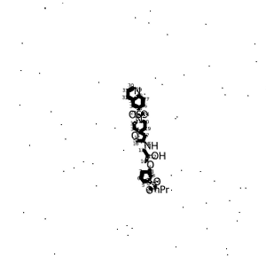 CCCS(=O)(=O)c1cccc(OC[C@@H](O)CN[C@H]2COC3(CCN(S(=O)(=O)c4ccc5ncccc5c4)CC3)C2)c1